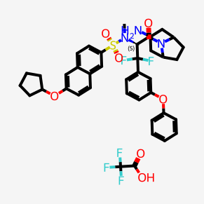 CN([C@@H](C(=O)N1C2CCC1CC(N)C2)C(F)(F)c1cccc(Oc2ccccc2)c1)S(=O)(=O)c1ccc2cc(OC3CCCC3)ccc2c1.O=C(O)C(F)(F)F